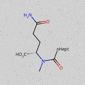 CCCCCCCC(=O)N(C)[C@@H](CCC(N)=O)C(=O)O